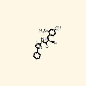 Cc1cc(O)ccc1/C=C(\C#N)C(=O)Nc1nc(-c2ccccc2)cs1